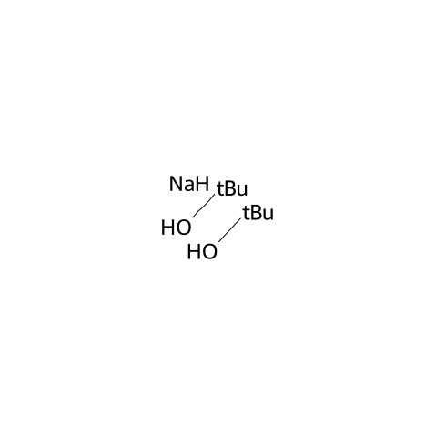 CC(C)(C)O.CC(C)(C)O.[NaH]